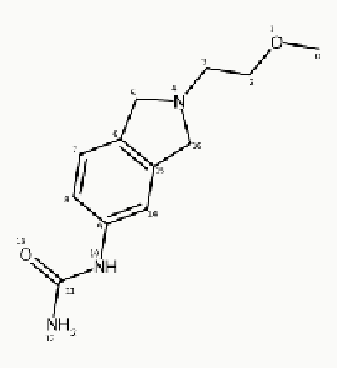 COCCN1Cc2ccc(NC(N)=O)cc2C1